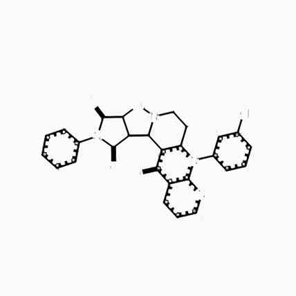 O=C1C2ON3CCc4c(c(=O)c5cccnc5n4-c4cccc(Cl)c4)C3C2C(=O)N1c1ccccc1